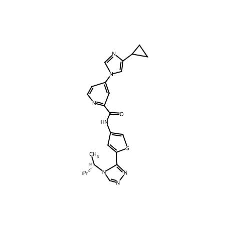 CC(C)[C@H](C)n1cnnc1-c1cc(NC(=O)c2cc(-n3cnc(C4CC4)c3)ccn2)cs1